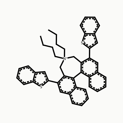 CCCC[N+]1(CCCC)Cc2c(-c3cc4ccccc4s3)cc3ccccc3c2-c2c(c(-c3cc4ccccc4s3)cc3ccccc23)C1